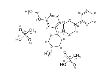 CCOc1cccc([C@]2(N3CCN(c4ccccc4)CC3)CC[C@@H](C)CC2)c1.CS(=O)(=O)O.CS(=O)(=O)O